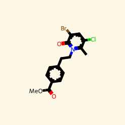 COC(=O)c1ccc(CCn2c(C)c(Cl)cc(Br)c2=O)cc1